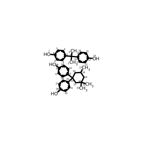 CC(C)(c1ccc(O)cc1)c1ccc(O)cc1.CC1CC(C)(C)CC(c2ccc(O)cc2)(c2ccc(O)cc2)C1